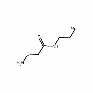 NOCC(=O)NCC[18F]